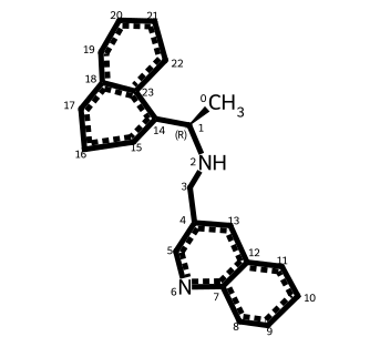 C[C@@H](NCc1cnc2ccccc2c1)c1cccc2ccccc12